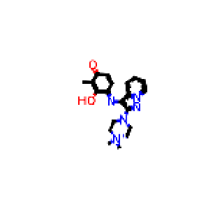 CC1=C(O)/C(=N/c2c(N3CC[N+](C)(C)CC3)nn3ccccc23)C=CC1=O